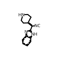 [C-]#[N+]C(=C1CCNCC1)c1nc2ccccc2[nH]1